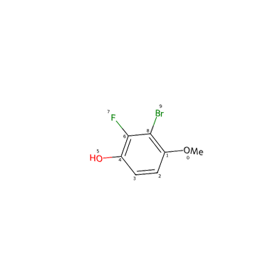 COc1ccc(O)c(F)c1Br